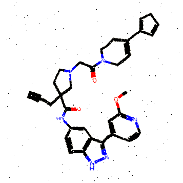 C#CCC1(C(=O)Nc2ccc3[nH]nc(-c4ccnc(OC)c4)c3c2)CCN(CC(=O)N2CC=C(C3=CCC=C3)CC2)C1